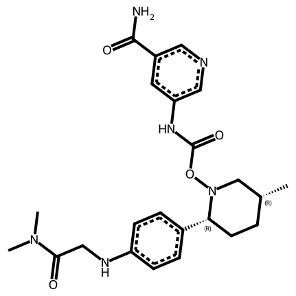 C[C@@H]1CC[C@H](c2ccc(NCC(=O)N(C)C)cc2)N(OC(=O)Nc2cncc(C(N)=O)c2)C1